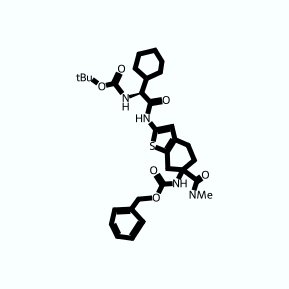 CNC(=O)C1(NC(=O)OCc2ccccc2)CCc2cc(NC(=O)[C@@H](NC(=O)OC(C)(C)C)C3CCCCC3)sc2C1